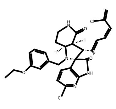 C=C(Cl)/C=C\C=C(/F)[C@H]1[C@@H]2C(=O)NCC[C@@H]2N(Cc2cccc(OCC)c2)[C@@]12C(=O)Nc1nc(Cl)ccc12